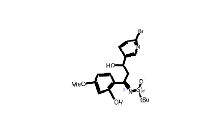 COc1ccc(/C(CC(O)c2ccc(Br)nc2)=N/[S@@+]([O-])C(C)(C)C)c(O)c1